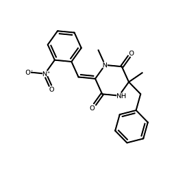 CN1C(=O)C(C)(Cc2ccccc2)NC(=O)C1=Cc1ccccc1[N+](=O)[O-]